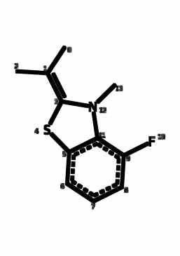 CC(C)=C1Sc2cccc(F)c2N1C